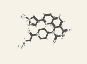 COCC(=O)N1CCC(n2c(=O)[nH]c(=O)c3cnc4ccc(-c5cnn(C)c5)nc4c32)CC1